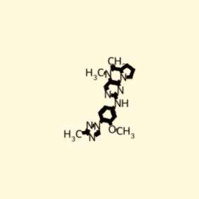 C=C1C2CCCN2c2nc(Nc3ccc(-n4cnc(C)n4)c(OC)c3)ncc2N1C